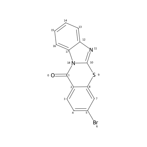 O=c1c2ccc(Br)cc2sc2nc3ccccc3n12